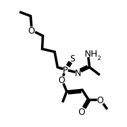 CCOCCCCP(=S)(N=C(C)N)OC(C)=CC(=O)OC